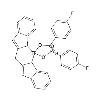 O=C([O][Ti]1([O]C(=O)c2ccc(F)cc2)[CH]2C(=Cc3ccccc32)CC2=Cc3ccccc3[CH]21)c1ccc(F)cc1